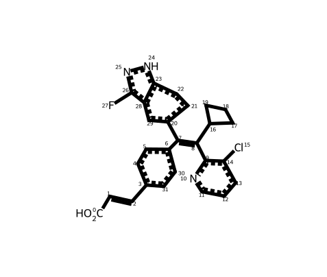 O=C(O)/C=C/c1ccc(/C(=C(\c2ncccc2Cl)C2CCC2)c2ccc3[nH]nc(F)c3c2)cc1